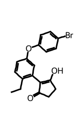 CCc1ccc(Oc2ccc(Br)cc2)cc1C1=C(O)CCC1=O